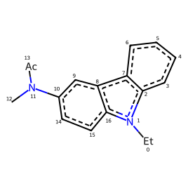 CCn1c2ccccc2c2cc(N(C)C(C)=O)ccc21